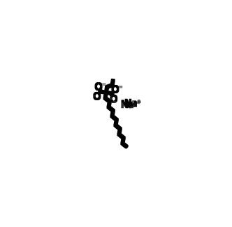 CCCCCCCCCCCCC(CCC)(C(=O)[O-])C(=O)[O-].[Na+].[Na+]